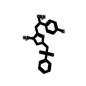 CN1CC(CS(=O)(=O)c2ccccc2)N=C1CN(C(=O)O)c1ccc(Cl)cc1